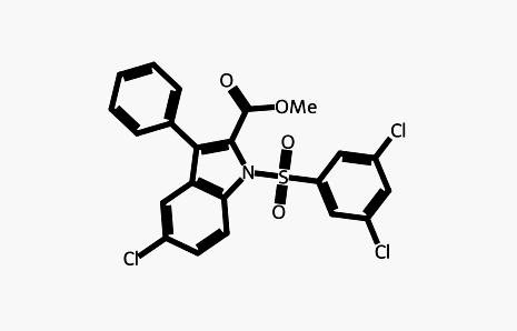 COC(=O)c1c(-c2ccccc2)c2cc(Cl)ccc2n1S(=O)(=O)c1cc(Cl)cc(Cl)c1